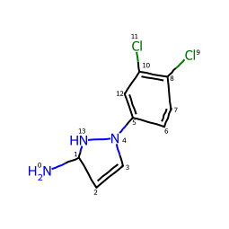 NC1C=CN(c2ccc(Cl)c(Cl)c2)N1